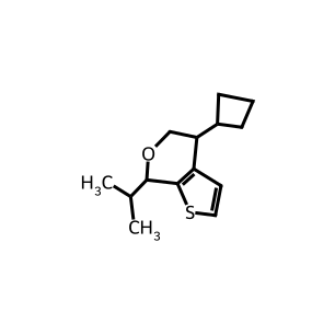 CC(C)C1OCC(C2CCC2)c2ccsc21